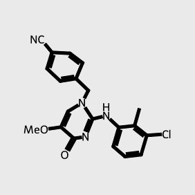 COc1cn(Cc2ccc(C#N)cc2)c(Nc2cccc(Cl)c2C)nc1=O